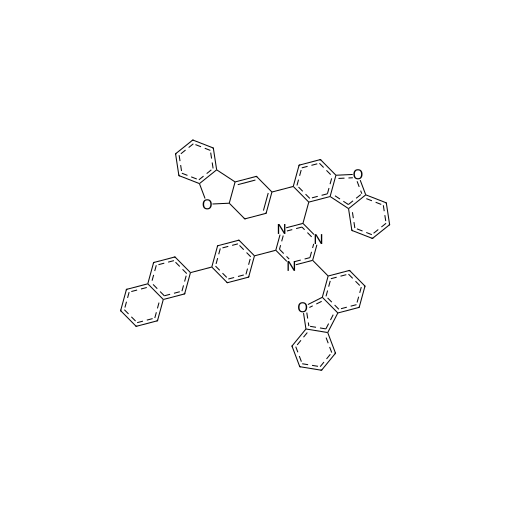 C1=C(c2ccc3oc4ccccc4c3c2-c2nc(-c3ccc(-c4ccc5ccccc5c4)cc3)nc(-c3cccc4c3oc3ccccc34)n2)C=C2c3ccccc3OC2C1